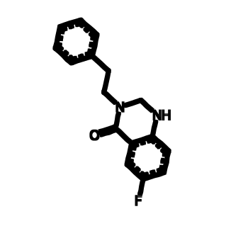 O=C1c2cc(F)ccc2NCN1CCc1ccccc1